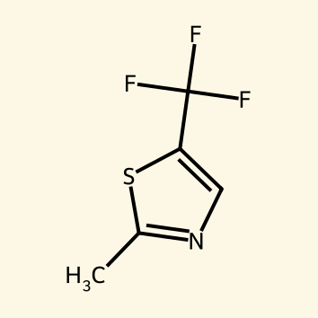 Cc1ncc(C(F)(F)F)s1